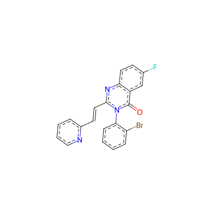 O=c1c2cc(F)ccc2nc(/C=C/c2ccccn2)n1-c1ccccc1Br